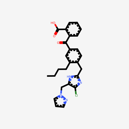 CCCCc1cc(C(=O)c2ccccc2C(=O)O)ccc1Cc1nc(Cl)c(Cn2cccn2)[nH]1